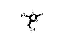 Cc1nc(S)c(CO)s1